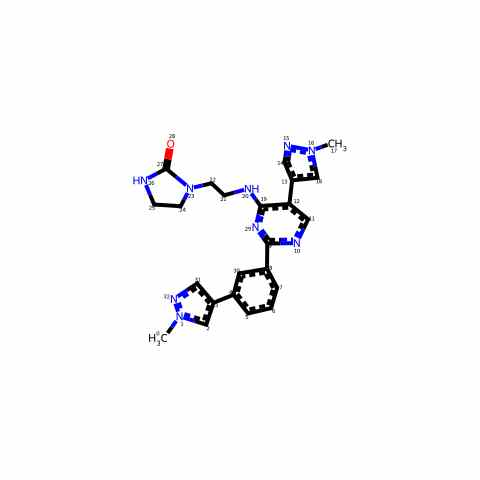 Cn1cc(-c2cccc(-c3ncc(-c4cnn(C)c4)c(NCCN4CCNC4=O)n3)c2)cn1